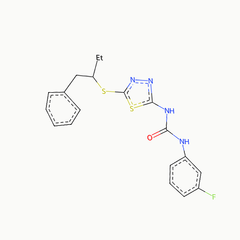 CCC(Cc1ccccc1)Sc1nnc(NC(=O)Nc2cccc(F)c2)s1